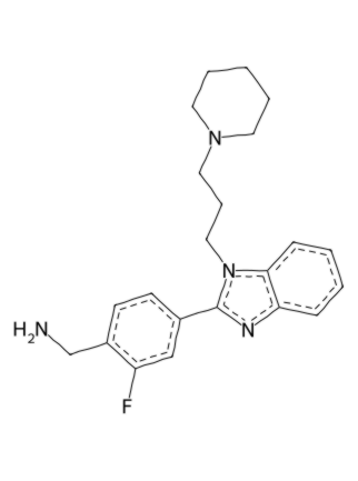 NCc1ccc(-c2nc3ccccc3n2CCCN2CCCCC2)cc1F